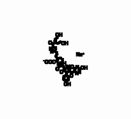 O=C([O-])C1=C(CSc2nnc(C(=O)N(CCO)CCO)s2)CS[C@@H]2C(NC(=O)C(NC(=O)c3nnc(O)nc3O)c3ccc(O)cc3)C(=O)N12.[Na+]